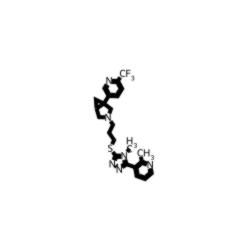 Cc1ncccc1-c1nnc(SCCCN2CC3CC3(c3ccc(C(F)(F)F)nc3)C2)n1C